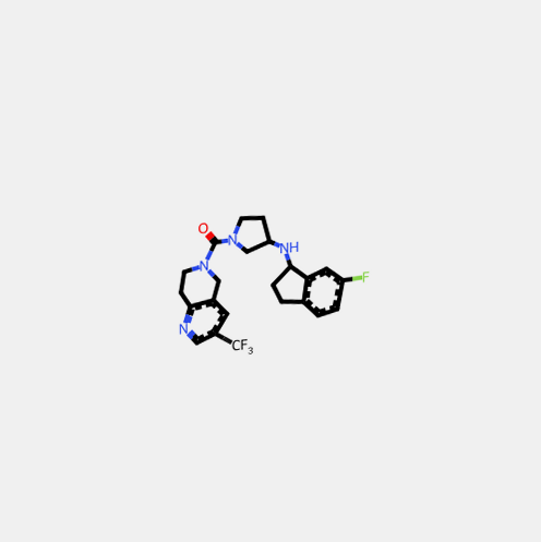 O=C(N1CCc2ncc(C(F)(F)F)cc2C1)N1CCC(NC2CCc3ccc(F)cc32)C1